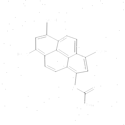 CCCCCC(=O)Oc1cc(S(=O)(=O)O)c2ccc3c(S(=O)(=O)O)cc(S(=O)(=O)O)c4ccc1c2c43